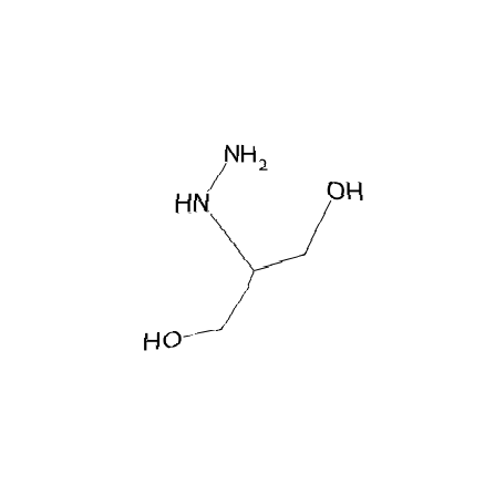 NNC(CO)CO